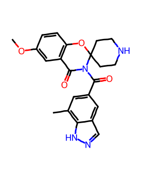 COc1ccc2c(c1)C(=O)N(C(=O)c1cc(C)c3[nH]ncc3c1)C1(CCNCC1)O2